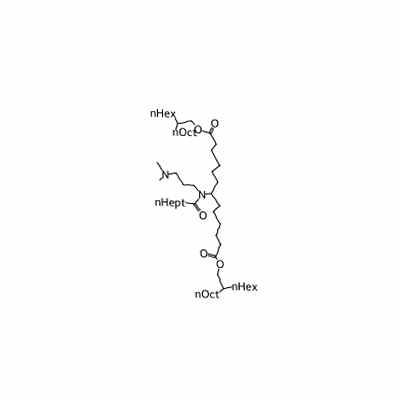 CCCCCCCCC(CCCCCC)COC(=O)CCCCCC(CCCCCC(=O)OCC(CCCCCC)CCCCCCCC)N(CCCN(C)C)C(=O)CCCCCCC